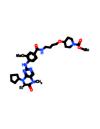 CC[C@@H]1C(=O)N(C)c2cnc(Nc3ccc(C(=O)NCCCCOC4CCN(C(=O)OC(C)(C)C)CC4)cc3OC)nc2N1C1CCCC1